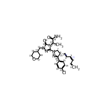 C=C/C=C\C=C\[C@H]1CN(c2nn(CC3CCOCC3)c(=O)n2[C@H](C)C(N)=O)N=C1c1ccc(Cl)cc1